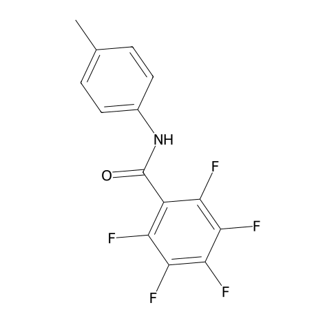 Cc1ccc(NC(=O)c2c(F)c(F)c(F)c(F)c2F)cc1